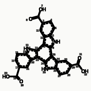 O=C(O)c1ccc2[nH]c3c(c2c1)c1[nH]c2ccc(C(=O)O)cc2c1c1[nH]c2ccc(C(=O)O)cc2c31